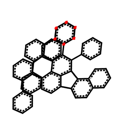 c1ccc(-c2cccc(-c3ccccc3)c2-c2ccc3c4c(c(-c5ccccc5)c(-c5ccccc5)c(-c5c(-c6ccccc6)cccc5-c5ccccc5)c24)-c2c-3ccc3ccccc23)cc1